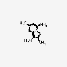 Cc1cc(N)n2nc(C)c(N)c2n1